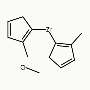 CC1=[C]([Zr][C]2=C(C)C=CC2)CC=C1.CCl